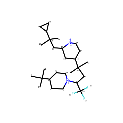 CC(C)(C)C1CCN(C(CC(C)(C)C2CCNC(CC(C)(C)C3CC3)C2)C(F)(F)F)CC1